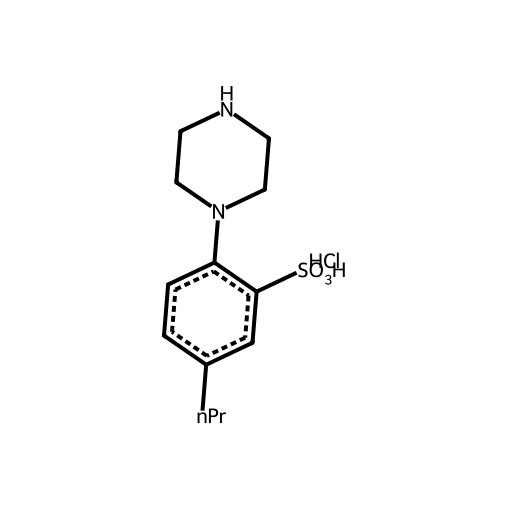 CCCc1ccc(N2CCNCC2)c(S(=O)(=O)O)c1.Cl